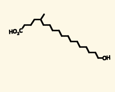 CC(CCCCCCCCCCCCCO)CCCC(=O)O